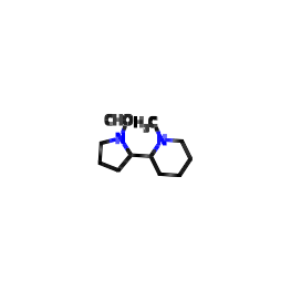 CN1CCCCC1C1CCCN1C=O